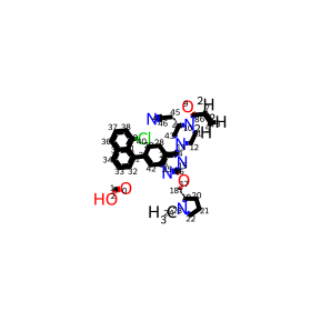 O=CO.[2H]C([2H])=C([2H])C(=O)N1CCN(c2nc(OC[C@@H]3CCCN3C)nc3c2CCC(c2cccc4cccc(Cl)c24)=C3)C[C@@H]1CC#N